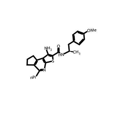 CCCc1nc2sc(C(=O)N[C@H](C)Cc3ccc(OC)cc3)c(N)c2c2c1CCC2